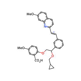 COc1ccc(OCC(OCC2CC2)c2cccc(/C=C/c3ccc4ccc(OC)cc4n3)c2)c(C(=O)O)c1